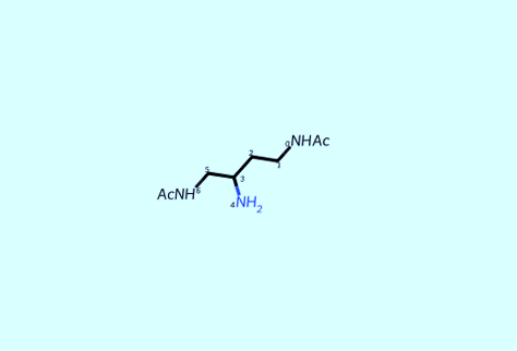 CC(=O)NCCC(N)CNC(C)=O